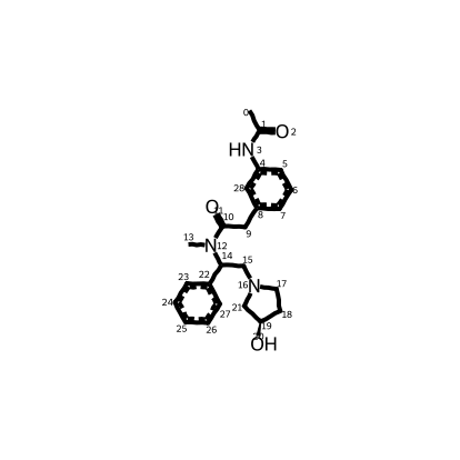 CC(=O)Nc1cccc(CC(=O)N(C)C(CN2CC[C@@H](O)C2)c2ccccc2)c1